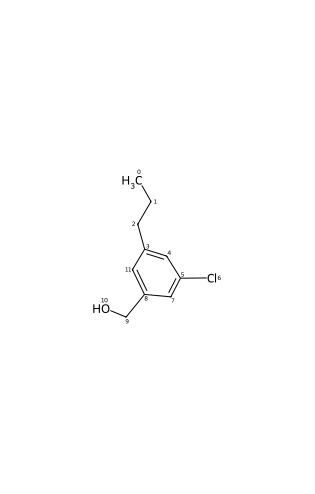 CCCc1cc(Cl)cc(CO)c1